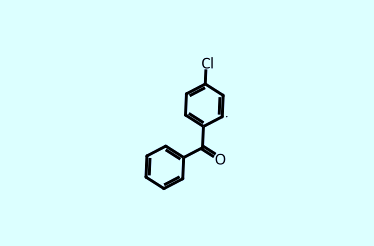 O=C(c1[c]cc(Cl)cc1)c1ccccc1